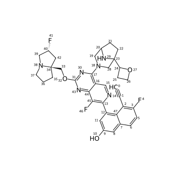 C#Cc1c(F)ccc2cc(O)cc(-c3ncc4c(N5CC6CCC(C7CCO7)(C5)N6)nc(OC[C@@]56CCCN5C[C@H](F)C6)nc4c3F)c12